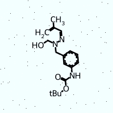 C=C(C)/C=N\N(CO)Cc1cccc(NC(=O)OC(C)(C)C)c1